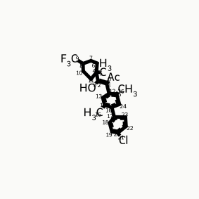 CC(=O)/C(=C(/O)C1(C)CCC(C(F)(F)F)CC1)c1cc(C)c(-c2ccc(Cl)cc2)cc1C